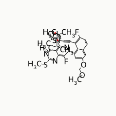 COCOc1cc(-c2nc(N3CCC3)c3cnc(SC)nc3c2F)c2c(C#C[Si](C(C)C)(C(C)C)C(C)C)c(F)ccc2c1